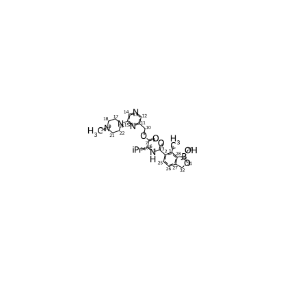 Cc1c(C(=O)N[C@H](C(=O)OCc2cncc(N3CCN(C)CC3)n2)C(C)C)ccc2c1B(O)OC2